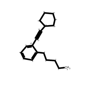 CCCCCc1ccccc1C#CC1CCCCC1